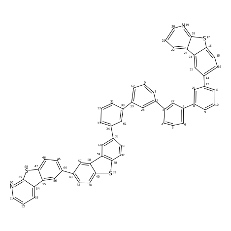 c1cc(-c2cccc(-c3cccc(-c4ccc5sc6ncccc6c5c4)c3)c2)cc(-c2cccc(-c3ccc4sc5ccc(-c6ccc7sc8ncccc8c7c6)cc5c4c3)c2)c1